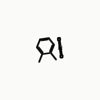 Cc1ccccc1C.O=[Si]=O